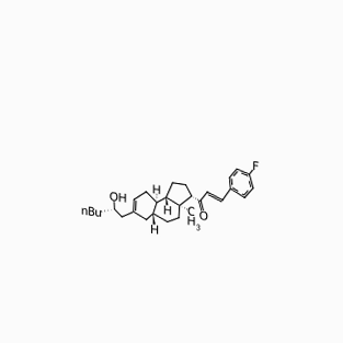 CCCC[C@H](O)CC1=CC[C@@H]2[C@H](CC[C@]3(C)[C@@H](C(=O)/C=C/c4ccc(F)cc4)CC[C@@H]23)C1